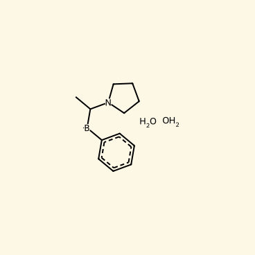 CC([B]c1ccccc1)N1CCCC1.O.O